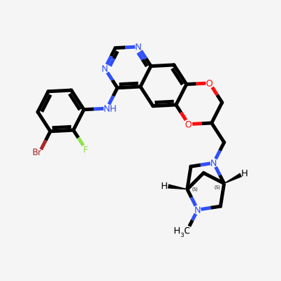 CN1C[C@@H]2C[C@H]1CN2CC1COc2cc3ncnc(Nc4cccc(Br)c4F)c3cc2O1